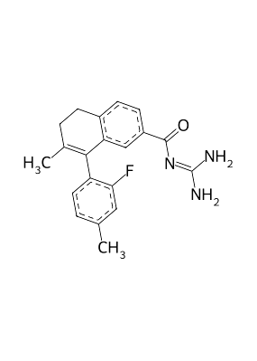 CC1=C(c2ccc(C)cc2F)c2cc(C(=O)N=C(N)N)ccc2CC1